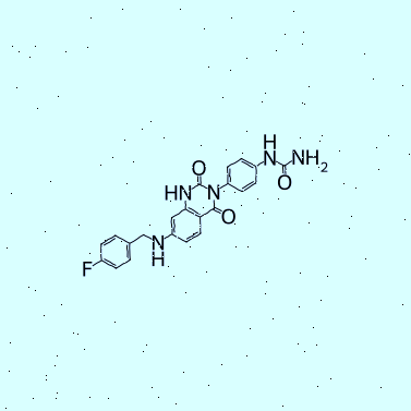 NC(=O)Nc1ccc(-n2c(=O)[nH]c3cc(NCc4ccc(F)cc4)ccc3c2=O)cc1